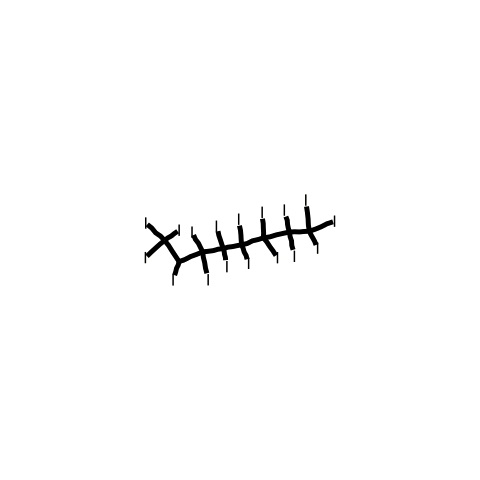 I[C](C(I)(I)I)C(I)(I)C(I)(I)C(I)(I)C(I)(I)C(I)(I)C(I)(I)I